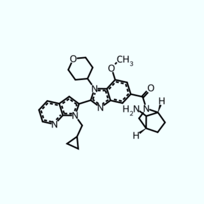 COc1cc(C(=O)N2C[C@H]3CC[C@@H]2C3N)cc2nc(-c3cc4cccnc4n3CC3CC3)n(C3CCOCC3)c12